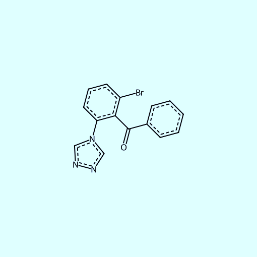 O=C(c1ccccc1)c1c(Br)cccc1-n1cnnc1